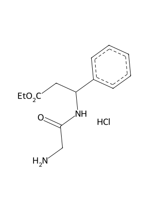 CCOC(=O)CC(NC(=O)CN)c1ccccc1.Cl